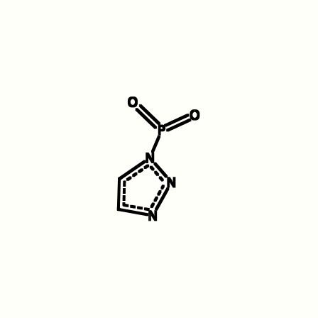 O=P(=O)n1ccnn1